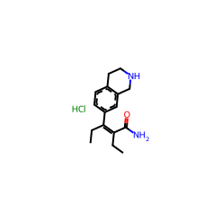 CCC(C(N)=O)=C(CC)c1ccc2c(c1)CNCC2.Cl